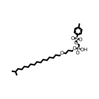 Cc1ccc(S(=O)(=O)OCP(=O)(O)OCCCOCCCCCCCCCCCCCCC(C)C)cc1